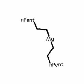 CCCCCC[CH2][Mg][CH2]CCCCCC